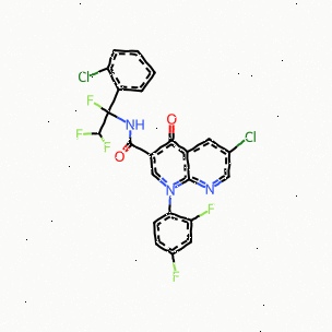 O=C(NC(F)(c1ccccc1Cl)C(F)F)c1cn(-c2ccc(F)cc2F)c2ncc(Cl)cc2c1=O